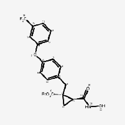 CCOC(=O)[C@@]1(Cc2ccc(Oc3cccc(C(F)(F)F)c3)cc2)C[C@@H]1C(=O)NO